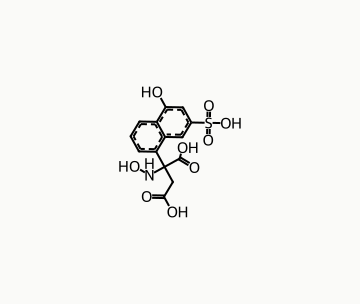 O=C(O)CC(NO)(C(=O)O)c1cccc2c(O)cc(S(=O)(=O)O)cc12